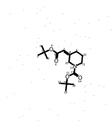 CC(C)(C)OC(=O)/C=C1/CCCN(C(=O)OC(C)(C)C)C1